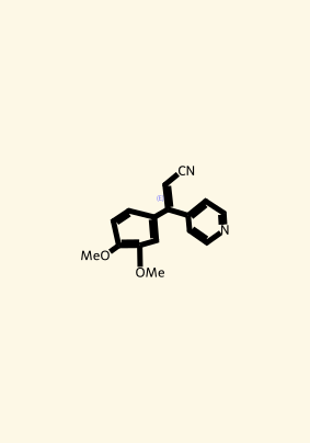 COc1ccc(/C(=C/C#N)c2ccncc2)cc1OC